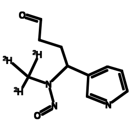 [2H]C([2H])([2H])N(N=O)C(CCC=O)c1cccnc1